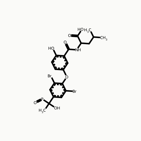 CC(C)CC(NC(=O)c1cc(Oc2c(Br)cc(C(C)(O)P=O)cc2Br)ccc1O)C(=O)O